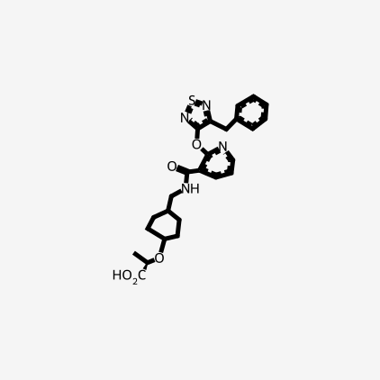 C[C@@H](OC1CCC(CNC(=O)c2cccnc2Oc2nsnc2Cc2ccccc2)CC1)C(=O)O